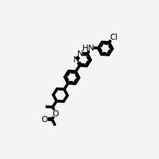 CC(=O)OC(C)C1CCC(c2ccc(-c3ccc(Nc4cccc(Cl)c4)nn3)cc2)CC1